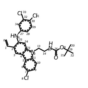 C=Cc1cc2c3cc(Cl)ccc3n(CCNC(=O)OC(C)(C)C)c2cc1Nc1ccc(Cl)c(Cl)c1